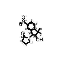 CC1(C)c2ccc([N+](=O)[O-])cc2C(N2CCCC2=O)C1O